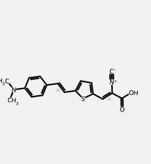 [C-]#[N+]/C(=C\c1ccc(/C=C/c2ccc(N(C)C)cc2)s1)C(=O)O